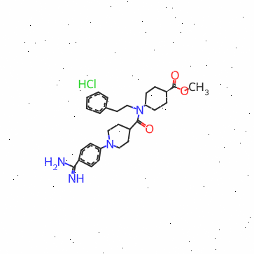 COC(=O)[C@H]1CC[C@H](N(CCc2ccccc2)C(=O)C2CCN(c3ccc(C(=N)N)cc3)CC2)CC1.Cl